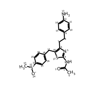 CC(=O)Nc1nc(CCc2ccc(N)cc2)c(Cc2ccc([S+](C)[O-])cc2)s1